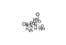 CC(C)C1C[C@@H](C(=O)N[C@@H](C[C@@H]2CCNC2=O)C(=O)C(=O)NCc2ccccc2)N(C(=O)c2cc3ccccc3[nH]2)C1